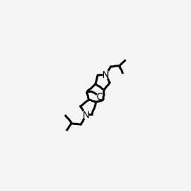 CC(C)CN1CC2C3CCC(C2C1)C1CN(CC(C)C)CC31